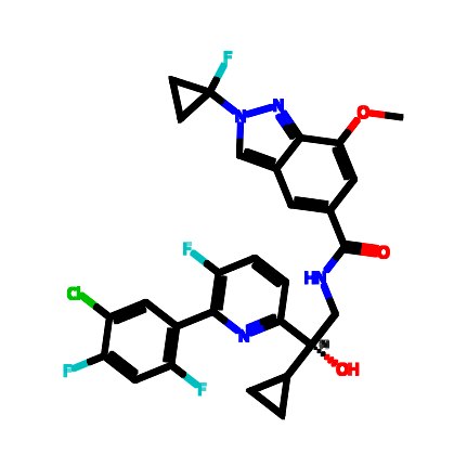 COc1cc(C(=O)NC[C@](O)(c2ccc(F)c(-c3cc(Cl)c(F)cc3F)n2)C2CC2)cc2cn(C3(F)CC3)nc12